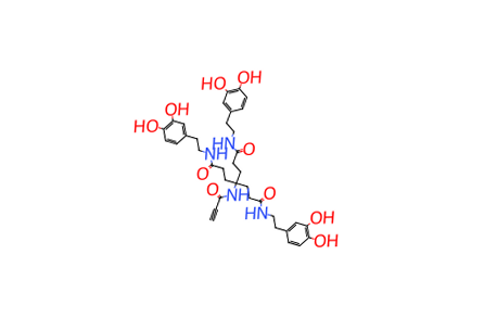 C#CC(=O)NC(CCC(=O)NCCc1ccc(O)c(O)c1)(CCC(=O)NCCc1ccc(O)c(O)c1)CCC(=O)NCCc1ccc(O)c(O)c1